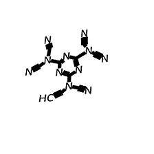 C#CN(C#N)c1nc(N(C#N)C#N)nc(N(C#N)C#N)n1